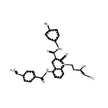 C=Cc1ccc(C(=O)Nc2cccc3c2cc(C(=O)Nc2ccc(Br)cc2)c(=O)n3CC/C(S)=C/C)cc1